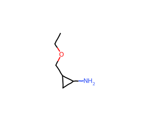 CCOCC1CC1N